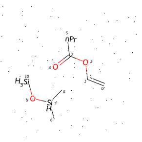 C=COC(=O)CCC.C[SiH](C)O[SiH3]